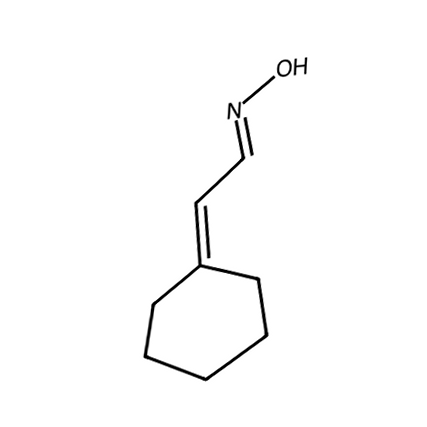 ON=CC=C1CCCCC1